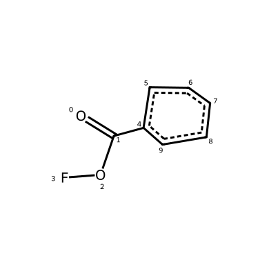 O=C(OF)c1ccccc1